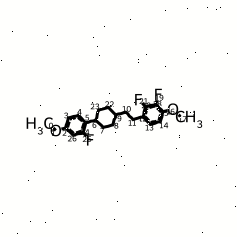 COc1ccc(C2CCC(CCc3ccc(OC)c(F)c3F)CC2)c(F)c1